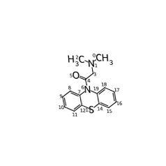 CN(C)CC(=O)N1c2ccccc2Sc2ccccc21